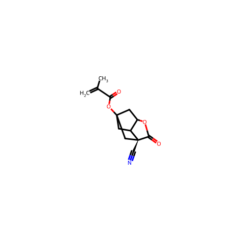 C=C(C)C(=O)OC12CC3OC(=O)[C@](C#N)(C1)C3C2